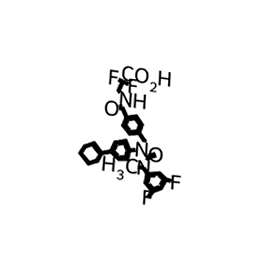 CN(C(=O)N(Cc1ccc(C(=O)NCC(F)(F)C(=O)O)cc1)c1ccc(C2=CCCCC2)cc1)c1cc(F)cc(F)c1